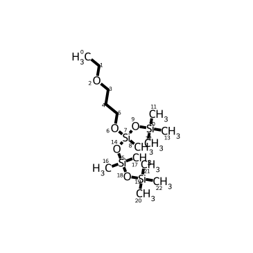 CCOCCCO[Si](C)(O[Si](C)(C)C)O[Si](C)(C)O[Si](C)(C)C